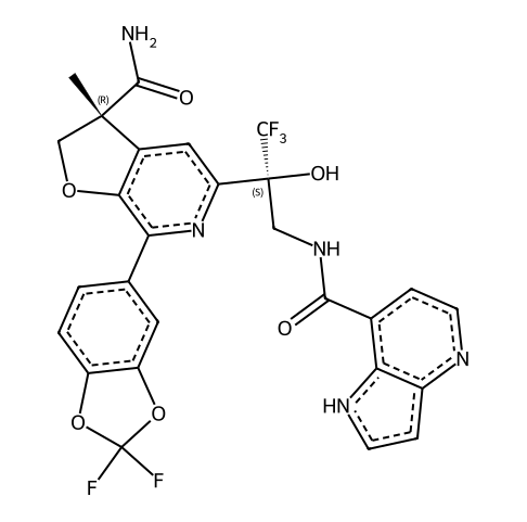 C[C@]1(C(N)=O)COc2c1cc([C@@](O)(CNC(=O)c1ccnc3cc[nH]c13)C(F)(F)F)nc2-c1ccc2c(c1)OC(F)(F)O2